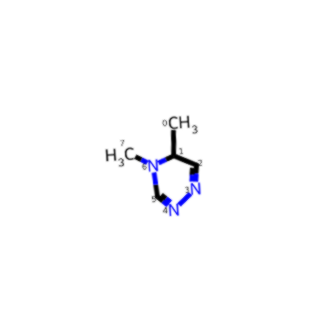 CC1C=NN=CN1C